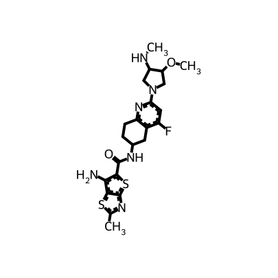 CNC1CN(c2cc(F)c3c(n2)CCC(NC(=O)c2sc4nc(C)sc4c2N)C3)CC1OC